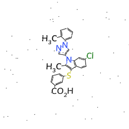 Cc1ccccc1-n1cc(-n2c(C)c(Sc3cccc(C(=O)O)c3)c3ccc(Cl)cc32)cn1